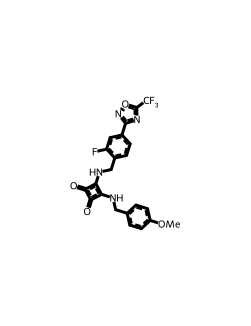 COc1ccc(CNc2c(NCc3ccc(-c4noc(C(F)(F)F)n4)cc3F)c(=O)c2=O)cc1